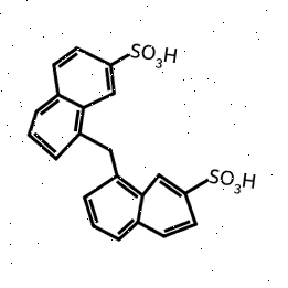 O=S(=O)(O)c1ccc2cccc(Cc3cccc4ccc(S(=O)(=O)O)cc34)c2c1